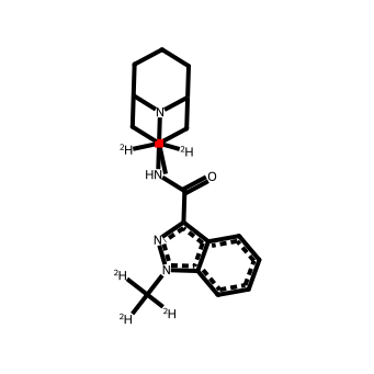 [2H]C([2H])(C)N1C2CCCC1CC(NC(=O)c1nn(C([2H])([2H])[2H])c3ccccc13)C2